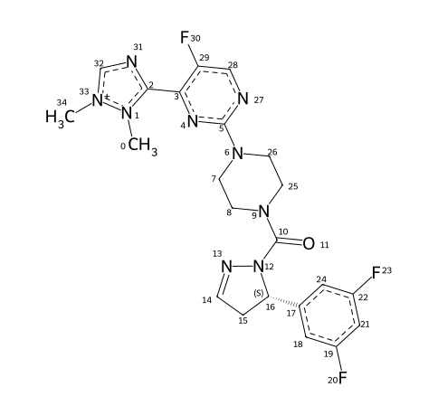 Cn1c(-c2nc(N3CCN(C(=O)N4N=CC[C@H]4c4cc(F)cc(F)c4)CC3)ncc2F)nc[n+]1C